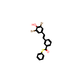 O=C(Sc1ccccc1)c1cccc(/C=C/c2cc(Br)c(O)c(Br)c2)c1